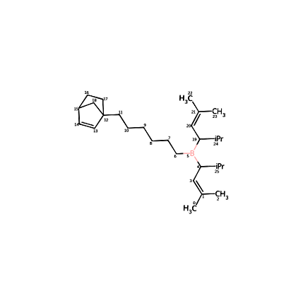 CC(C)=CC(B(CCCCCCC12C=CC(CC1)C2)C(C=C(C)C)C(C)C)C(C)C